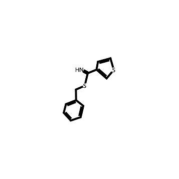 N=C(SCc1ccccc1)c1ccsc1